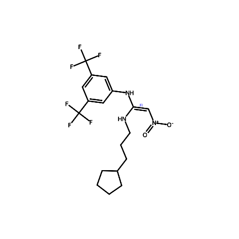 O=[N+]([O-])/C=C(\NCCCC1CCCC1)Nc1cc(C(F)(F)F)cc(C(F)(F)F)c1